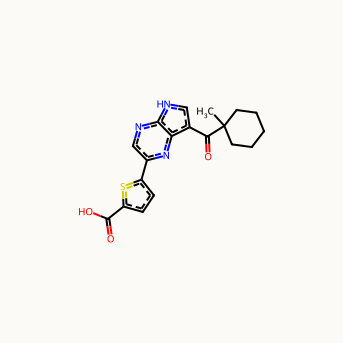 CC1(C(=O)c2c[nH]c3ncc(-c4ccc(C(=O)O)s4)nc23)CCCCC1